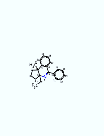 CC12CCCC1(CC(F)(F)F)N=C(c1ccccc1)c1ccccc12